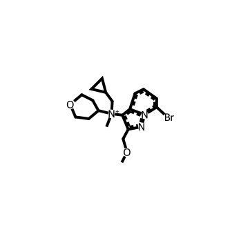 COCc1nn2c(Br)cccc2c1[N+](C)(CC1CC1)C1CCOCC1